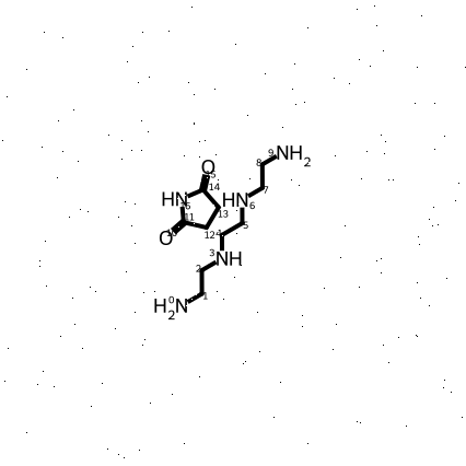 NCCNCCNCCN.O=C1CCC(=O)N1